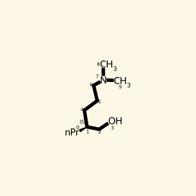 CCC[C@H](CO)CCCN(C)C